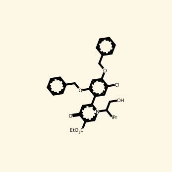 CCOC(=O)c1cn(C(CO)C(C)C)c(-c2cc(Cl)c(OCc3ccccc3)cc2OCc2ccccc2)cc1=O